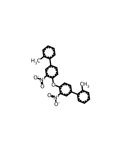 Cc1ccccc1-c1ccc(Oc2ccc(-c3ccccc3C)cc2[N+](=O)[O-])c([N+](=O)[O-])c1